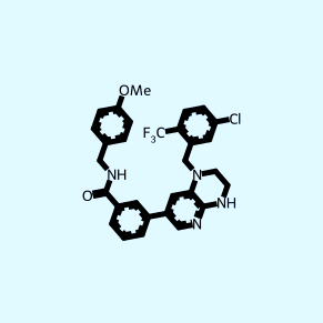 COc1ccc(CNC(=O)c2cccc(-c3cnc4c(c3)N(Cc3cc(Cl)ccc3C(F)(F)F)CCN4)c2)cc1